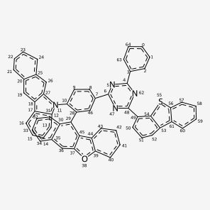 c1ccc(-c2nc(-c3ccc(-n4c5ccccc5c5cc6ccccc6cc54)c(-c4c5ccccc5cc5oc6ccccc6c45)c3)nc(-c3cccc4c3sc3ccccc34)n2)cc1